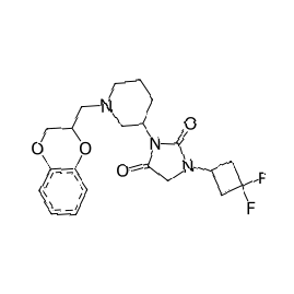 O=C1CN(C2CC(F)(F)C2)C(=O)N1C1CCCN(CC2COc3ccccc3O2)C1